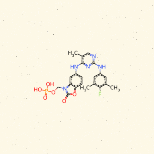 Cc1cnc(Nc2cc(C)c(F)c(C)c2)nc1Nc1ccc2oc(=O)n(COP(=O)(O)O)c2c1